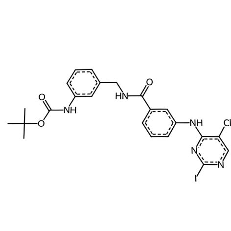 CC(C)(C)OC(=O)Nc1cccc(CNC(=O)c2cccc(Nc3nc(I)ncc3Cl)c2)c1